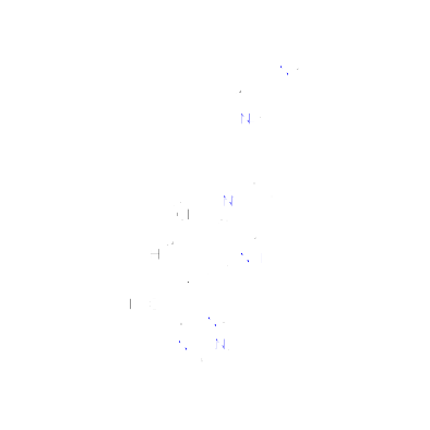 Cc1cc(-c2[nH]c3ccc(C4CCN(CC#N)CC4)nc3c2C(C)C)cn2ncnc12